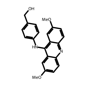 COc1ccc2nc3ccc(OC)cc3c(Nc3ccc(CO)cc3)c2c1